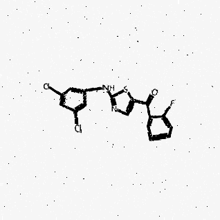 O=C(c1cnc(Nc2cc(Cl)cc(Cl)c2)s1)c1ccccc1F